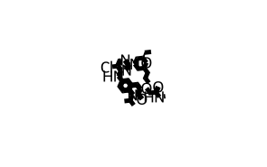 CCCC1CN(c2ncc(Cl)c(Nc3ccc4c(c3)cc(OCC(=O)NC)c(=O)n4C(C)C)n2)C[C@@H](CC)O1